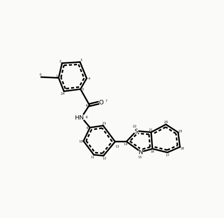 Cc1cccc(C(=O)Nc2cccc(-c3nc4ccccc4s3)c2)c1